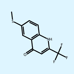 CSc1ccc2[nH]c(C(F)(F)F)cc(=O)c2c1